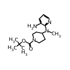 CN(c1ncccc1N)C1CCN(C(=O)OC(C)(C)C)CC1